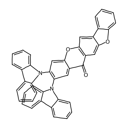 O=c1c2cc(-n3c4ccccc4c4ccccc43)c(-n3c4ccccc4c4ccccc43)cc2oc2cc3c(cc12)oc1ccccc13